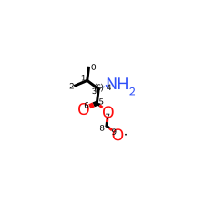 CC(C)[C@H](N)C(=O)OC[O]